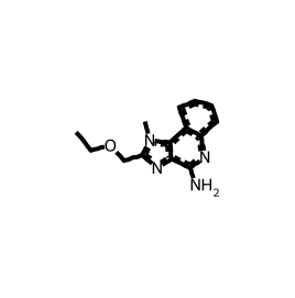 CCOCc1nc2c(N)nc3ccccc3c2n1C